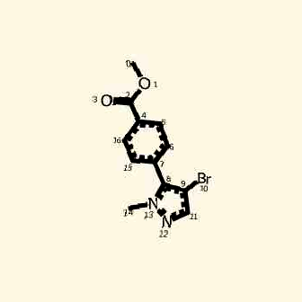 COC(=O)c1ccc(-c2c(Br)cnn2C)cc1